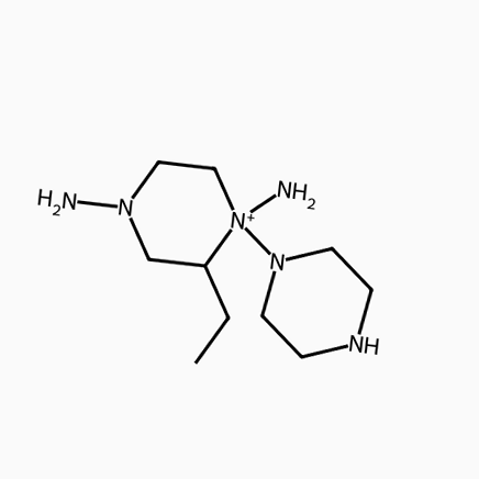 CCC1CN(N)CC[N+]1(N)N1CCNCC1